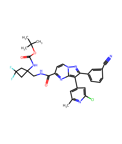 Cc1cc(-c2c(-c3cccc(C#N)c3)nn3ccc(C(=O)NCC4(NC(=O)OC(C)(C)C)CC(F)(F)C4)nc23)cc(Cl)n1